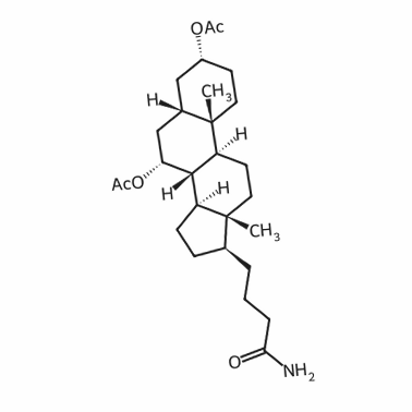 CC(=O)O[C@@H]1CC[C@@]2(C)[C@@H](C1)C[C@@H](OC(C)=O)[C@@H]1[C@@H]2CC[C@]2(C)[C@@H](CCCC(N)=O)CC[C@@H]12